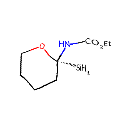 CCOC(=O)N[C@@]1([SiH3])CCCCO1